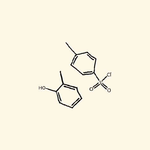 Cc1ccc(S(=O)(=O)Cl)cc1.Cc1ccccc1O